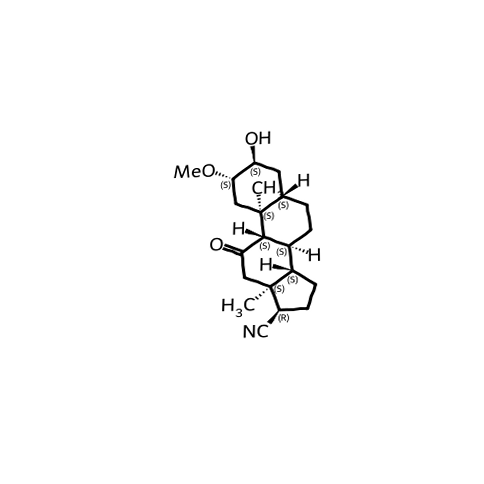 CO[C@H]1C[C@@]2(C)[C@@H](CC[C@H]3[C@@H]4CC[C@@H](C#N)[C@@]4(C)CC(=O)[C@@H]32)C[C@@H]1O